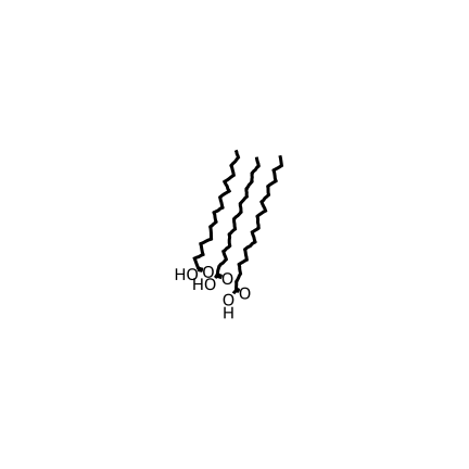 CCCCCCCCCCCCCCCC(=O)O.CCCCCCCCCCCCCCCC(=O)O.CCCCCCCCCCCCCCCCCC(=O)O